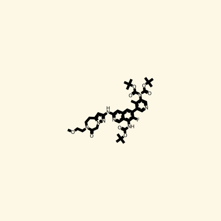 COCCN1CCc2cc(Nc3cc4cc(-c5cncc(N(C(=O)OC(C)(C)C)C(=O)OC(C)(C)C)c5C)c(F)c(NC(=O)OC(C)(C)C)c4cn3)nn2CC1=O